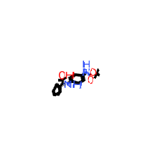 CC(C)(C)OC(=O)NC1CCC(N[C@@H](c2ccccc2)C(C)(C)O)CC1